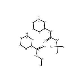 CC(C)(C)OC(=O)NC1CCCNC1.CCOC(=O)C1CCCNC1